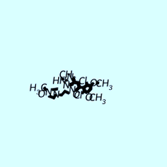 CNc1ncc2cc(-c3c(Cl)c(OC)cc(OC)c3Cl)c(=O)n(CCCN3CCN(C(C)=O)CC3)c2n1